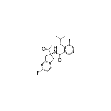 CC(=O)[C@]1(NC(=O)c2cccc(C)c2CC(C)C)Cc2ccc(F)cc2C1